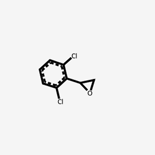 Clc1cccc(Cl)c1C1CO1